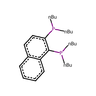 CCCCP(CCCC)c1ccc2ccccc2c1P(CCCC)CCCC